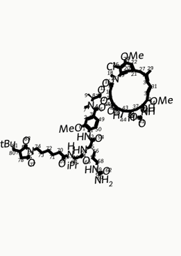 COc1cc(C(=O)N(C)[C@@H](C)C(=O)O[C@H]2CC(=O)N(C)c3cc(cc(OC)c3Cl)C/C(C)=C/C=C/[C@@H](OC)[C@@]3(O)C[C@H](OC(=O)N3)[C@@H](C)[C@@H]3O[C@@]23C)ccc1NC(=O)[C@H](CCCNC(N)=O)NC(=O)[C@@H](NC(=O)CCCCCN1C(=O)CC(CC(C)(C)C)C1=O)C(C)C